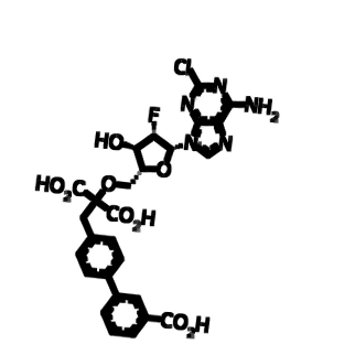 Nc1nc(Cl)nc2c1ncn2[C@@H]1O[C@H](COC(Cc2ccc(-c3cccc(C(=O)O)c3)cc2)(C(=O)O)C(=O)O)[C@@H](O)[C@@H]1F